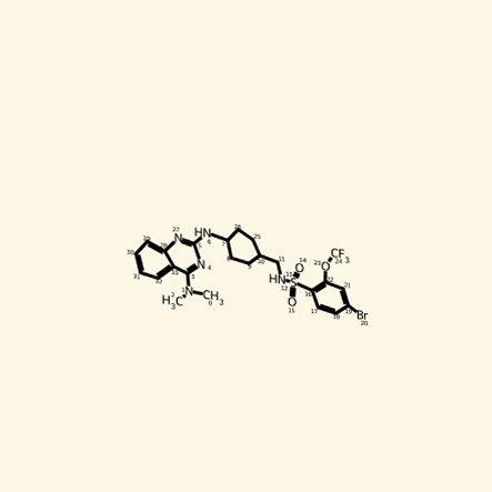 CN(C)c1nc(NC2CCC(CNS(=O)(=O)c3ccc(Br)cc3OC(F)(F)F)CC2)nc2ccccc12